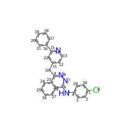 Clc1ccc(Nc2nnc(Cc3ccnc(-c4ccccc4)c3)c3ccccc23)cc1